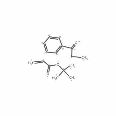 C=CC(=O)OC(C)(C)C.CCC(=O)c1ccccc1